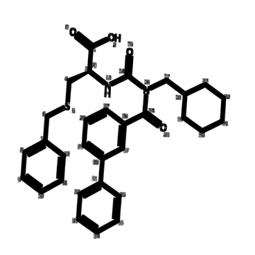 O=C(O)[C@H](CSCc1ccccc1)NC(=O)N(CC1CCCCC1)C(=O)c1cccc(-c2ccccc2)c1